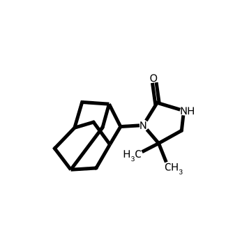 CC1(C)CNC(=O)N1C1C2CC3CC(C2)CC1C3